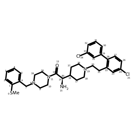 CSc1ccccc1CN1CCN(C(=O)[C@H](N)C2CCN(CCc3cc(Cl)ccc3-c3cccc(Cl)c3)CC2)CC1